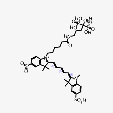 CN1/C(=C/C=C/C=C/C2=[N+](CCCCCC(=O)NCCCC(O)(P(=O)(O)O)P(=O)(O)O)c3ccc([SH](=O)=O)cc3C2(C)C)C(C)(C)c2cc(S(=O)(=O)O)ccc21